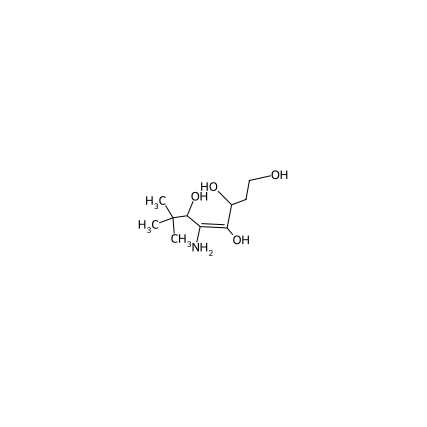 CC(C)(C)C(O)/C(N)=C(/O)C(O)CCO